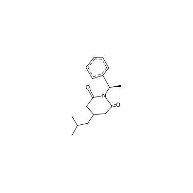 CC(C)CC1CC(=O)N([C@H](C)c2ccccc2)C(=O)C1